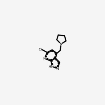 Clc1cc(CN2CCCC2)c2cn[nH]c2n1